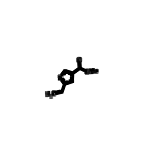 C=Cc1cc(C(=O)OC)cs1